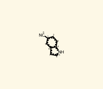 N#Cc1ccc2[nH][c]cc2c1